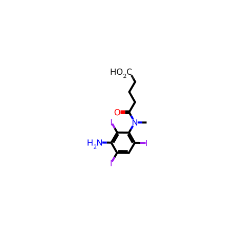 CN(C(=O)CCCC(=O)O)c1c(I)cc(I)c(N)c1I